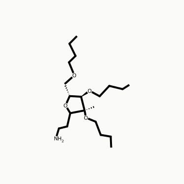 CCCCOC[C@H]1OC(CCN)[C@](C)(OCCCC)[C@@H]1OCCCC